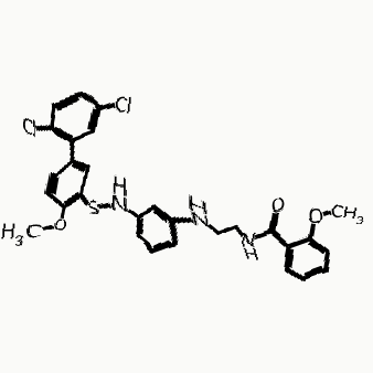 COc1ccc(-c2cc(Cl)ccc2Cl)cc1SNc1cccc(NCCNC(=O)c2ccccc2OC)c1